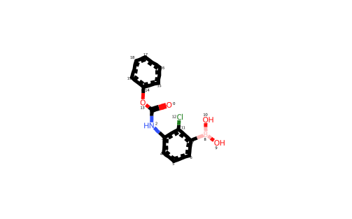 O=C(Nc1cccc(B(O)O)c1Cl)Oc1ccccc1